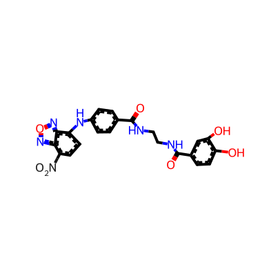 O=C(NCCNC(=O)c1ccc(O)c(O)c1)c1ccc(Nc2ccc([N+](=O)[O-])c3nonc23)cc1